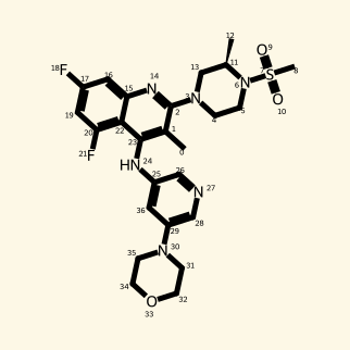 Cc1c(N2CCN(S(C)(=O)=O)[C@H](C)C2)nc2cc(F)cc(F)c2c1Nc1cncc(N2CCOCC2)c1